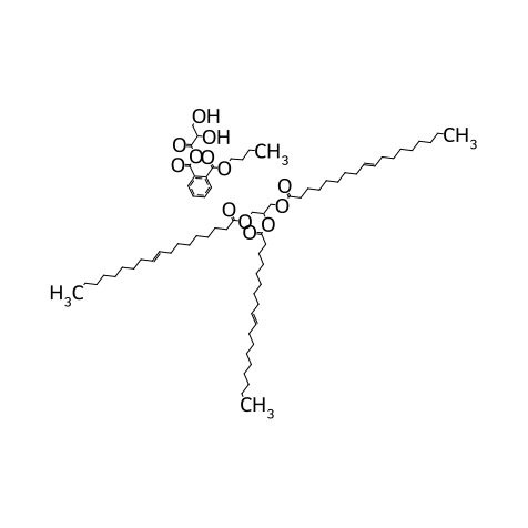 CCCCCCCC/C=C/CCCCCCCC(=O)OCC(COC(=O)CCCCCCC/C=C/CCCCCCCC)OC(=O)CCCCCCC/C=C/CCCCCCCC.CCCCOC(=O)c1ccccc1C(=O)OC(=O)C(O)CO